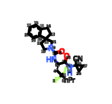 CCCC(F)(F)C[C@H](NC(=O)N1CCC2(CCc3ccccc32)C1)C(=O)NC1(C#N)CC1